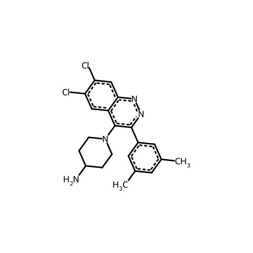 Cc1cc(C)cc(-c2nnc3cc(Cl)c(Cl)cc3c2N2CCC(N)CC2)c1